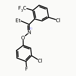 CC/C(=N\Oc1ccc(F)c(Cl)c1)c1cc(Cl)ccc1C(F)(F)F